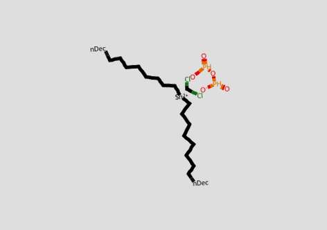 CCCCCCCCCCCCCCCCC[CH2][Sn+2][CH2]CCCCCCCCCCCCCCCCC.ClCCl.O=[PH]([O-])O[PH](=O)[O-]